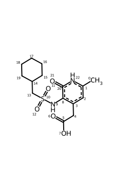 Cc1cc(CC(=O)O)c(NS(=O)(=O)CC2CCCCC2)c(=O)[nH]1